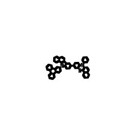 C1=Cc2c(ccc3c2Sc2cc(-c4ccc5c(c4)c4ccc6ccccc6c4n5-c4ccc5c6ccccc6c6ccccc6c5c4)ccc2N3c2ccccc2)CC1